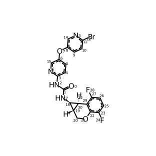 O=C(Nc1ccc(Oc2ccc(Br)nc2)cn1)N[C@@H]1[C@H]2COc3c(F)ccc(F)c3[C@@H]21